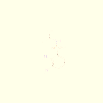 CC(C)NS(=O)(=O)c1cccc(N)c1N